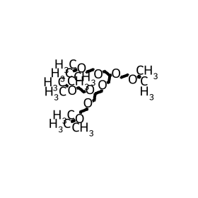 CC(C)OCCOC(COCCOC(C)(C)C)COCC(COCCOC(C)(C)C)OCCOC(C)(C)C